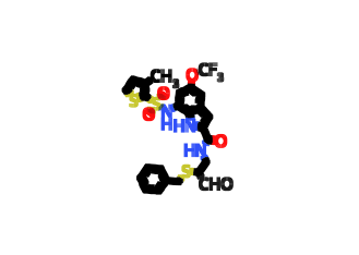 Cc1ccsc1S(=O)(=O)Nc1cc(OC(F)(F)F)cc2cc(C(=O)NCC(C=O)SCc3ccccc3)[nH]c12